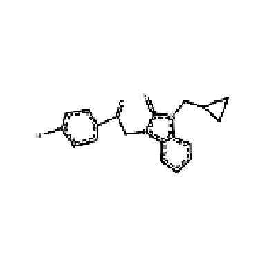 N=c1n(CC(=O)c2ccc(Br)cc2)c2ccccc2n1CC1CC1